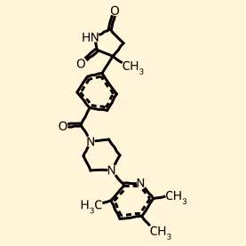 Cc1cc(C)c(N2CCN(C(=O)c3ccc(C4(C)CC(=O)NC4=O)cc3)CC2)nc1C